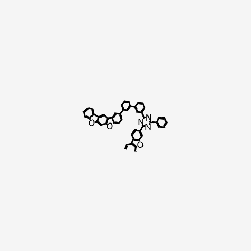 C=Cc1c(C)oc2cc(-c3nc(-c4ccccc4)nc(-c4cccc(-c5cccc(-c6ccc7oc8cc9oc%10ccccc%10c9cc8c7c6)c5)c4)n3)ccc12